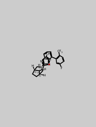 Cc1cc(N2C[C@H]3CC[C@@H](C2)[C@@H]3Nc2nc3c(-c4cc(F)ccc4C(F)(F)F)cccn3n2)sn1